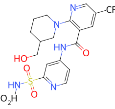 O=C(O)NS(=O)(=O)c1cc(NC(=O)c2cc(C(F)(F)F)cnc2N2CCCC(CO)C2)ccn1